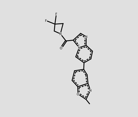 Cc1nc2cc(-c3ccc4ncc(C(=O)N5CC(F)(F)C5)n4c3)ccc2o1